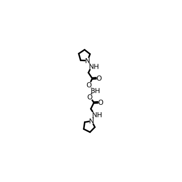 O=C(CNN1CCCC1)OBOC(=O)CNN1CCCC1